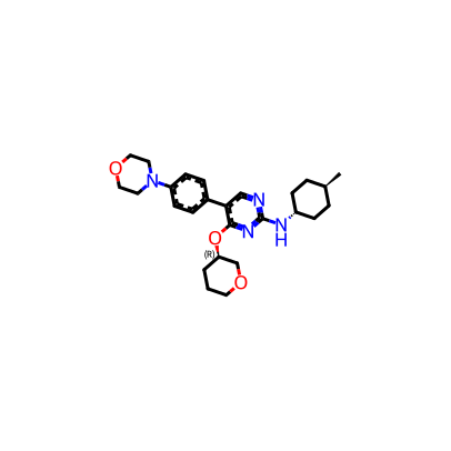 C[C@H]1CC[C@H](Nc2ncc(-c3ccc(N4CCOCC4)cc3)c(O[C@@H]3CCCOC3)n2)CC1